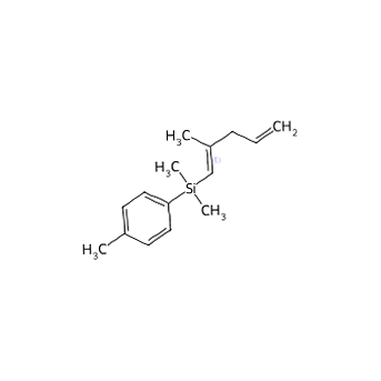 C=CC/C(C)=C/[Si](C)(C)c1ccc(C)cc1